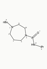 CCCCN1CCCN(C(=O)NC(C)C)CC1